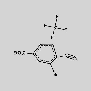 CCOC(=O)c1ccc([N+]#N)c(Br)c1.F[B-](F)(F)F